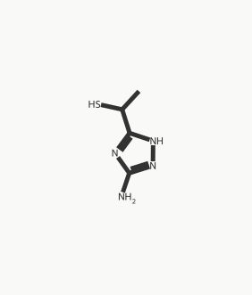 CC(S)c1nc(N)n[nH]1